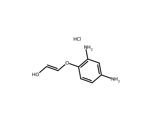 Cl.Nc1ccc(OC=CO)c(N)c1